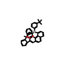 CC(C)(C)c1cccc(N(c2ccccc2)c2cccc3ccc4cc5c(cc4c23)C(C)(c2ccccc2)c2ccccc2-5)c1